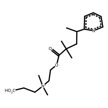 CC(CC(C)(C)C(=O)OCC[N+](C)(C)CCC(=O)O)c1ccccn1